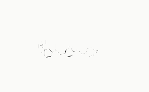 CNc1cc(NCc2ccc(NCC3CCN(C)CC3)nc2)ccn1